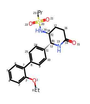 CCOc1ccccc1-c1ccc([C@H]2NC(=O)CC[C@@H]2NS(=O)(=O)C(C)C)cc1